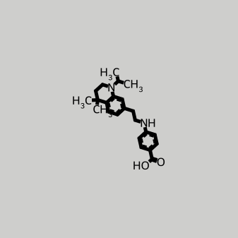 CC(C)N1CCC(C)(C)c2ccc(CCNc3ccc(C(=O)O)cc3)cc21